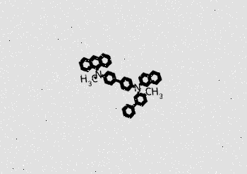 Cc1ccc(-c2ccccc2)cc1N(c1ccc(-c2ccc(N(C)c3c4ccccc4cc4ccccc34)cc2)cc1)c1ccc2ccccc2c1